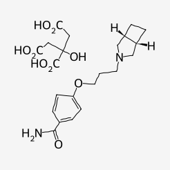 NC(=O)c1ccc(OCCCN2C[C@H]3CC[C@H]3C2)cc1.O=C(O)CC(O)(CC(=O)O)C(=O)O